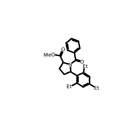 CCc1cc(CC)c(C2CCC(C(=O)OC)N2C(=O)c2ccccc2)c(CC)c1